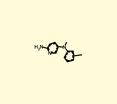 Cc1cccc(N(C)c2ccc(N)nc2)c1